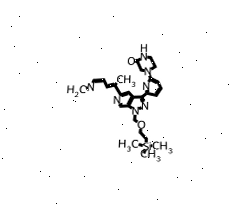 C=N/C=C\C=C(/C)c1cc2c(-c3cccc(N4CCNC(=O)C4)n3)nn(COCC[Si](C)(C)C)c2cn1